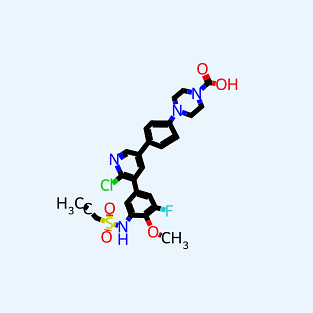 CCCS(=O)(=O)Nc1cc(-c2cc(-c3ccc(N4CCN(C(=O)O)CC4)cc3)cnc2Cl)cc(F)c1OC